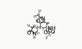 CCS(=O)(=O)Nc1cc(-c2cc(C)c(=O)n(C)c2)c2oc(C(C)C)nc2c1